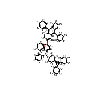 c1ccc(-c2ccccc2N(c2ccc(-c3ccc4c(-c5ccccc5)c5ccccc5c(-c5ccccc5)c4c3)cc2)c2ccc(N(c3ccccc3)c3ccccc3)cc2)cc1